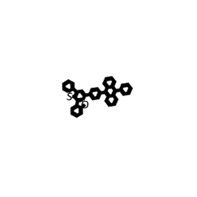 c1ccc(-c2c3ccccc3c(-c3ccc(-c4cc5c6ccccc6sc5c5c4oc4ccccc45)cc3)c3ccccc23)cc1